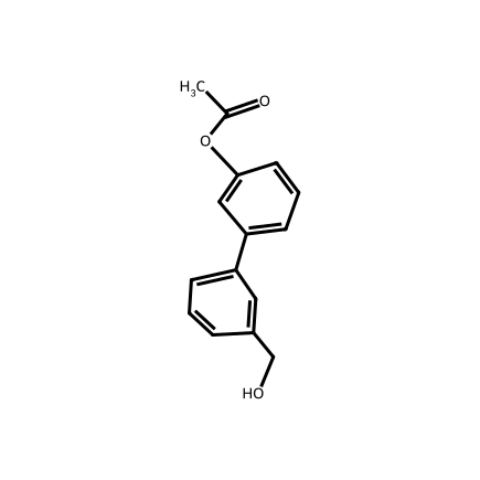 CC(=O)Oc1cccc(-c2cccc(CO)c2)c1